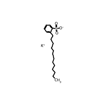 CCCCCCCCCCCCCc1ccccc1S(=O)(=O)[O-].[K+]